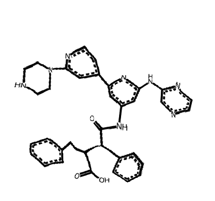 O=C(O)C(Cc1ccccc1)[C@@H](C(=O)Nc1cc(Nc2cnccn2)nc(-c2ccnc(N3CCNCC3)c2)c1)c1ccccc1